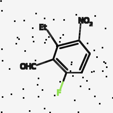 CCc1c([N+](=O)[O-])ccc(F)c1C=O